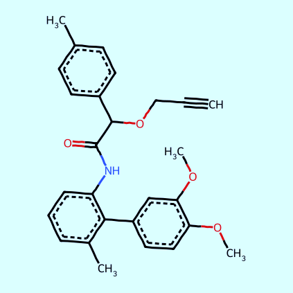 C#CCOC(C(=O)Nc1cccc(C)c1-c1ccc(OC)c(OC)c1)c1ccc(C)cc1